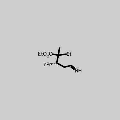 CCC[C@@H](CC=N)C(C)(CC)C(=O)OCC